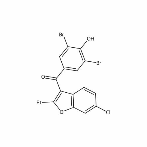 CCc1oc2cc(Cl)ccc2c1C(=O)c1cc(Br)c(O)c(Br)c1